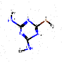 CCNc1nc(NC(C)C)nc(SCC)n1